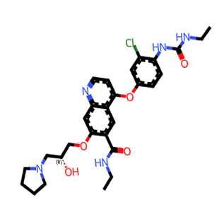 CCNC(=O)Nc1ccc(Oc2ccnc3cc(OC[C@H](O)CN4CCCC4)c(C(=O)NCC)cc23)cc1Cl